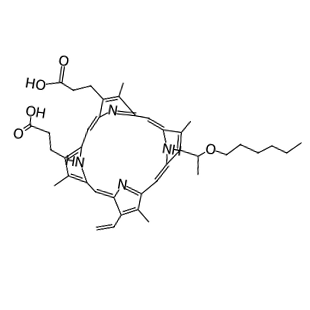 C=CC1=C(C)c2cc3[nH]c(cc4nc(cc5[nH]c(cc1n2)c(C)c5CCC(=O)O)C(CCC(=O)O)=C4C)c(C)c3C(C)OCCCCCC